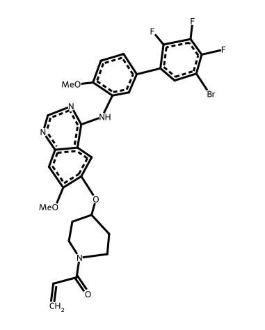 C=CC(=O)N1CCC(Oc2cc3c(Nc4cc(-c5cc(Br)c(F)c(F)c5F)ccc4OC)ncnc3cc2OC)CC1